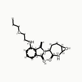 C=C1c2c(NCCOCCC)cccc2C(=O)N1C1CCC2OC2NC1=O